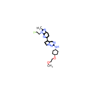 COCCO[C@H]1CC[C@H](Nc2ncc3c(-c4ccc5nc(C)n(CCF)c5n4)ccn3n2)CC1